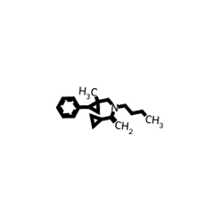 C=C(C1CC1)N(CCCC)CC1(C)CC1c1ccccc1